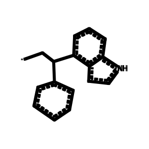 [CH2]CC(c1ccccc1)c1cccc2[nH]ccc12